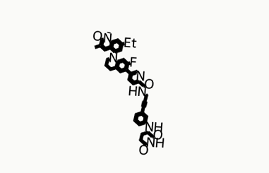 CCc1cc(N2CCCc3cc(-c4ccc(C(=O)NCC#Cc5cccc(NC6CCC(=O)NC6=O)c5)nc4)c(F)cc32)c2cc(C)c(=O)n(C)c2c1